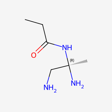 CCC(=O)N[C@@](C)(N)CN